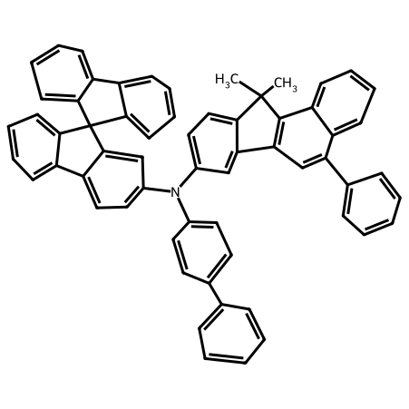 CC1(C)c2ccc(N(c3ccc(-c4ccccc4)cc3)c3ccc4c(c3)C3(c5ccccc5-c5ccccc53)c3ccccc3-4)cc2-c2cc(-c3ccccc3)c3ccccc3c21